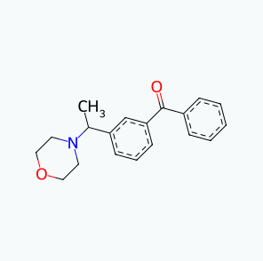 CC(c1cccc(C(=O)c2ccccc2)c1)N1CCOCC1